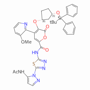 COc1cccnc1-c1cc(C(=O)Nc2nnc(-n3nccc3NC(C)=O)s2)oc(=O)c1O[C@@H]1CC[C@H](O[Si](c2ccccc2)(c2ccccc2)C(C)(C)C)C1